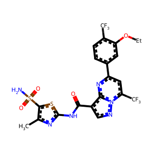 CCOc1cc(-c2cc(C(F)(F)F)n3ncc(C(=O)Nc4nc(C)c(S(N)(=O)=O)s4)c3n2)ccc1C(F)(F)F